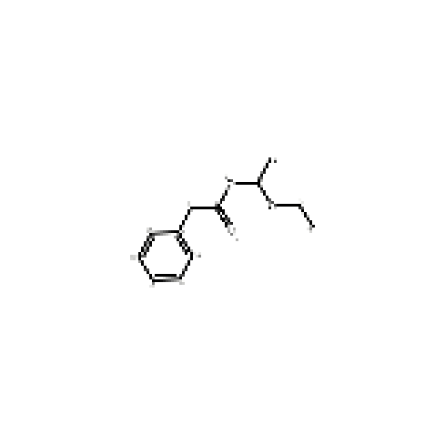 CCOC(C)OC(=O)Cc1ccccc1